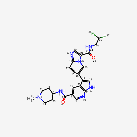 CN1CCC(NC(=O)c2cnc3[nH]cc(-c4ccc5ncc(C(=O)NCC(F)F)n5c4)c3c2)CC1